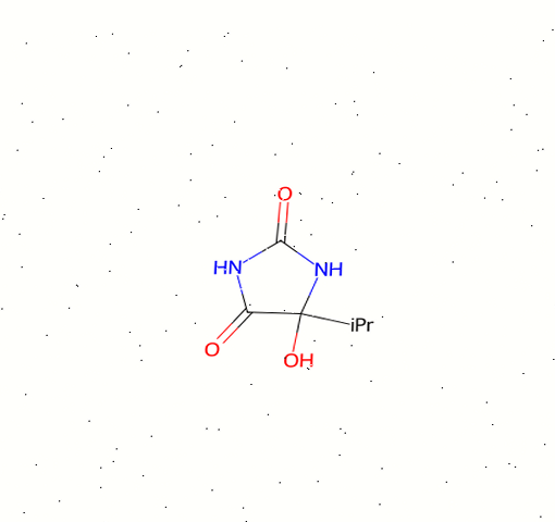 CC(C)C1(O)NC(=O)NC1=O